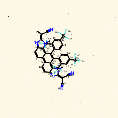 C/C(C#N)=c1\nc2ccc3c4ccc5nc(=C(C#N)C#N)n(C)c5c4c(-c4ccc(C(F)(F)F)cc4C(F)(F)F)c(-c4ccc(C(F)(F)F)cc4C(F)(F)F)c3c2n1C